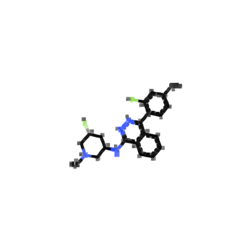 COc1ccc(-c2nnc(N[C@@H]3C[C@@H](F)CN(C)C3)c3ccccc23)c(F)c1